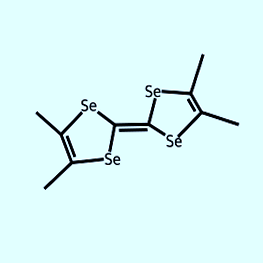 CC1=C(C)[Se]C(=C2[Se]C(C)=C(C)[Se]2)[Se]1